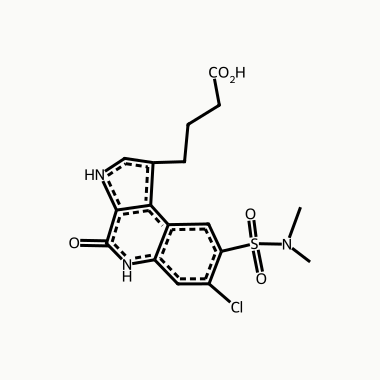 CN(C)S(=O)(=O)c1cc2c(cc1Cl)[nH]c(=O)c1[nH]cc(CCCC(=O)O)c12